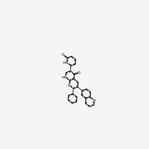 O=c1cccc(-c2c[nH]c3nc(-c4ccccc4)c(-c4ccc5ncccc5c4)cc3c2=O)[nH]1